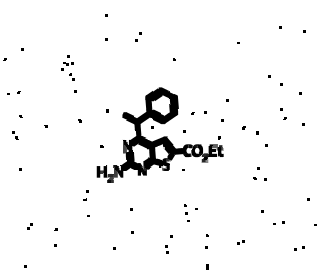 CCOC(=O)c1cc2c(C(C)c3ccccc3)nc(N)nc2s1